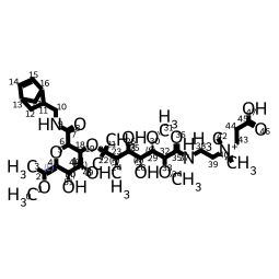 CO/C(C)=C1/OC(C(=O)NCC2CC3C=CC2C3)C(OC(C)(C)[C@H](C)C(O)[C@@H](O)[C@H](OC)C(OC)C(=O)NCC[N+](C)(C)CCC(=O)O)[C@@H](O)[C@H]1O